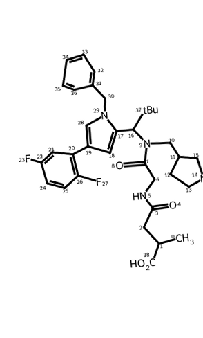 CC(CC(=O)NCC(=O)N(CC1CCNC1)C(c1cc(-c2cc(F)ccc2F)cn1Cc1ccccc1)C(C)(C)C)C(=O)O